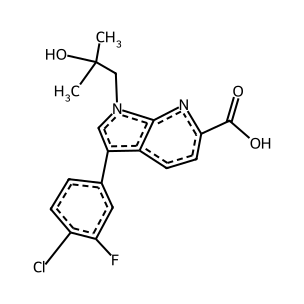 CC(C)(O)Cn1cc(-c2ccc(Cl)c(F)c2)c2ccc(C(=O)O)nc21